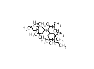 C=CCN1C(C)(C)CC(N(C(=O)N(C)C)C2CC(C)(C)N(CC=C)C(C)(C)C2)CC1(C)C